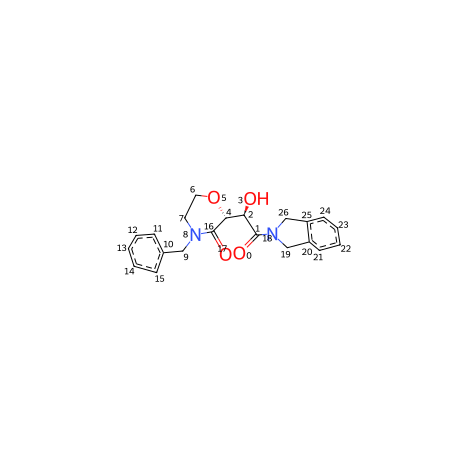 O=C([C@H](O)[C@H]1OCCN(Cc2ccccc2)C1=O)N1Cc2ccccc2C1